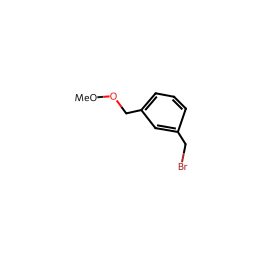 COOCc1cccc(CBr)c1